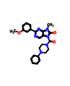 COc1cccc(-c2ncc3c(n2)n(C)c(=O)n3C(=O)N2CCN(c3ccccc3)CC2)c1